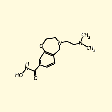 CN(C)CCN1CCOc2cc(C(=O)NO)ccc2C1